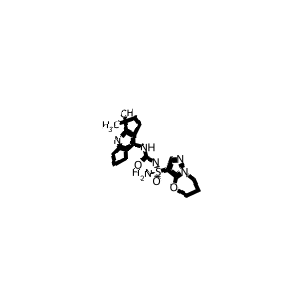 CC1(C)CCc2c1nc1c(c2NC(=O)N=[S@](N)(=O)c2cnn3c2OCCC3)CCC1